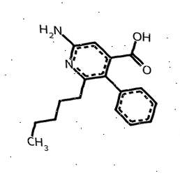 CCCCCc1nc(N)cc(C(=O)O)c1-c1ccccc1